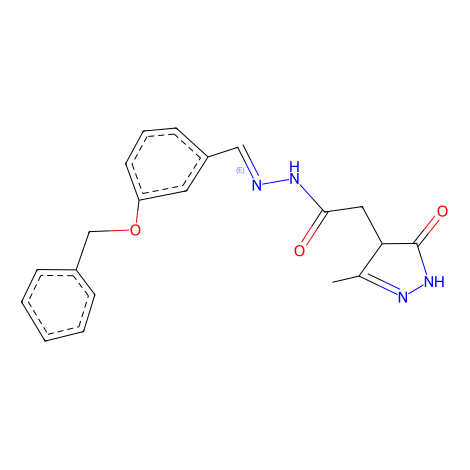 CC1=NNC(=O)C1CC(=O)N/N=C/c1cccc(OCc2ccccc2)c1